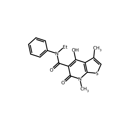 CCN(C(=O)c1c(O)c2c(C)csc2n(C)c1=O)c1ccccc1